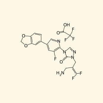 NCC(Cn1ncn(-c2ncc(-c3ccc4c(c3)OCO4)cc2F)c1=O)=C(F)F.O=C(O)C(F)(F)F